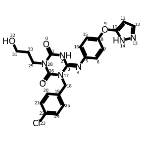 O=c1[nH]/c(=N\c2ccc(Oc3ccn[nH]3)cc2)n(Cc2ccc(Cl)cc2)c(=O)n1CCCO